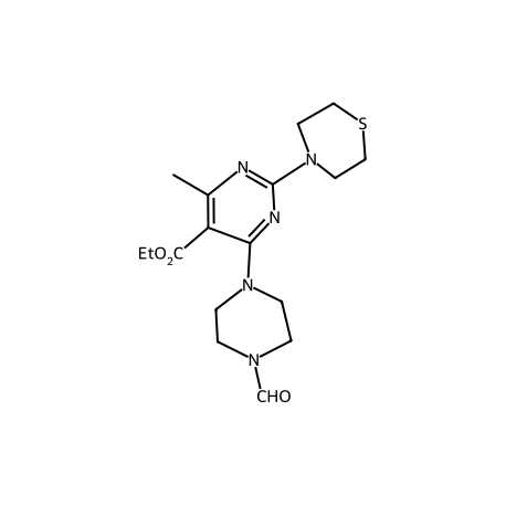 CCOC(=O)c1c(C)nc(N2CCSCC2)nc1N1CCN(C=O)CC1